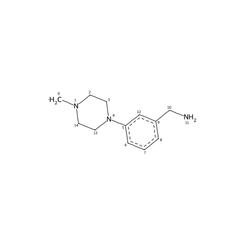 [CH2]N1CCN(c2cccc(CN)c2)CC1